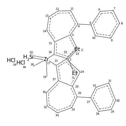 CCc1cc2c(-c3ccccc3)ccccc-2[c]1[Zr]([CH3])([CH3])(=[SiH2])[c]1c(CC)cc2c(-c3ccccc3)ccccc1-2.Cl.Cl